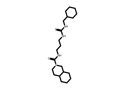 O=C(NCCCNC(=S)NCC1CCCCC1)N1CCC2CCCCC2C1